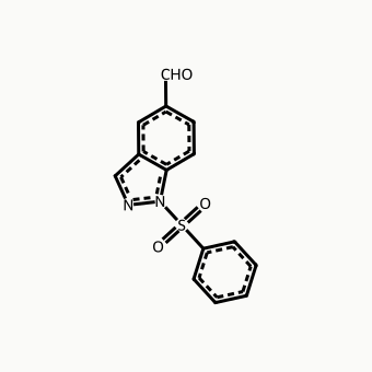 O=Cc1ccc2c(cnn2S(=O)(=O)c2ccccc2)c1